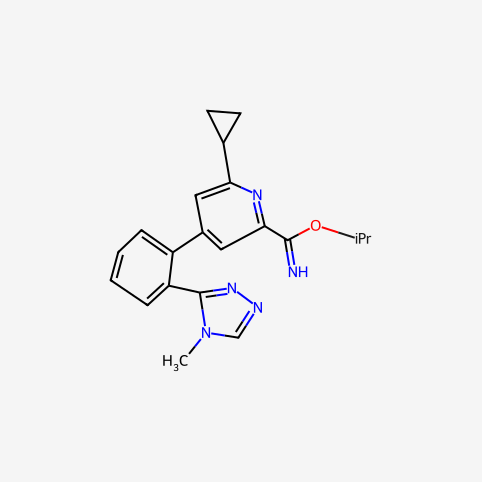 CC(C)OC(=N)c1cc(-c2ccccc2-c2nncn2C)cc(C2CC2)n1